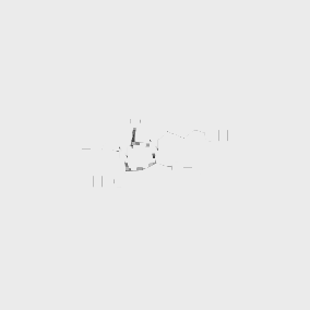 Cc1cc(C)[n+](C)c(=O)n1CCCO